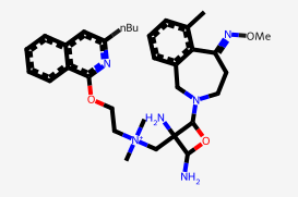 CCCCc1cc2ccccc2c(OCC[N+](C)(C)CC2(N)C(N)OC2N2CC/C(=N\OC)c3c(C)cccc3C2)n1